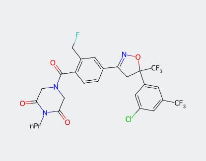 CCCN1C(=O)CN(C(=O)c2ccc(C3=NOC(c4cc(Cl)cc(C(F)(F)F)c4)(C(F)(F)F)C3)cc2CF)CC1=O